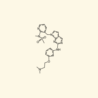 CN(C)CCOc1cccc(Nc2ncc3ccn(Cc4cccnc4N(C)S(C)(=O)=O)c3n2)c1